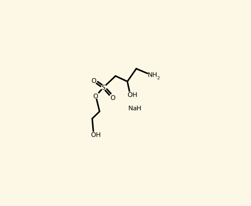 NCC(O)CS(=O)(=O)OCCO.[NaH]